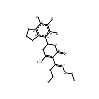 CCC/C(=N\OCC)C1=C(O)CC(c2c(C)c(C)c(C)c3c2CCC3)CC1=O